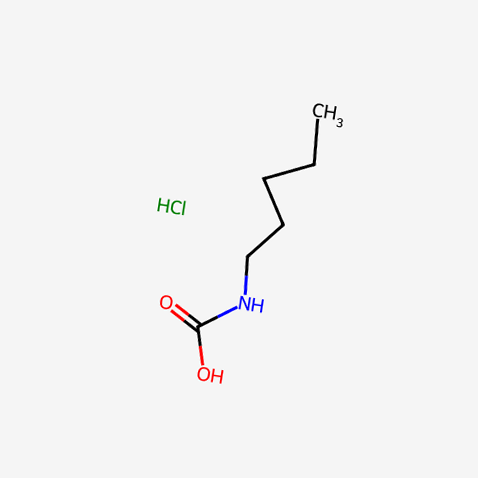 CCCCCNC(=O)O.Cl